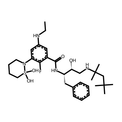 CCNc1cc(C(=O)N[C@@H](Cc2ccccc2)[C@H](O)CNC(C)(C)CC(C)(C)C)c(F)c(N2CCCCS2(O)O)c1